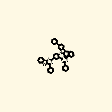 c1ccc(-c2ccc3c4ccccc4n(-c4ccc(-c5nc(-c6ccccc6)c6oc7ccccc7c6n5)cc4-c4nc(-c5ccccc5)nc(-c5ccccc5)n4)c3c2)cc1